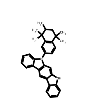 CC1CC(C)(C)c2ccc(-n3c4ccccc4c4cc5c(cc43)[nH]c3ccccc35)cc2C1(C)C